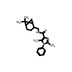 Cc1nc(C(=O)NCC2CCC3C(C)(C)C34CC24)c(C)n1-c1ccccc1